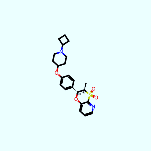 C[C@@H]1[C@@H](c2ccc(OC3CCN(C4CCC4)CC3)cc2)Oc2cccnc2S1(=O)=O